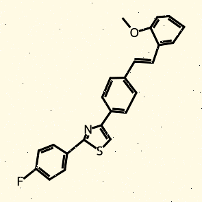 COc1ccccc1/C=C/c1ccc(-c2csc(-c3ccc(F)cc3)n2)cc1